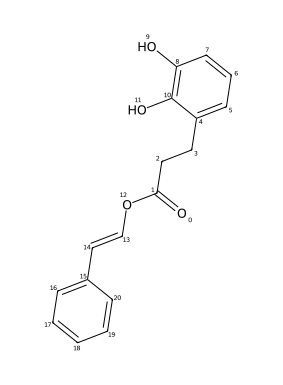 O=C(CCc1cccc(O)c1O)OC=Cc1ccccc1